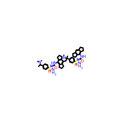 CC(c1ccc(S(N)(=O)=NC(=O)Nc2c3c(c(CC(C)(c4ccc(S(N)(=O)=NC(=O)Nc5c6c(cc7c5CCC7)CCC6)cc4)N(C)C)c4c2CCC4)CCC3)cc1)N(C)C